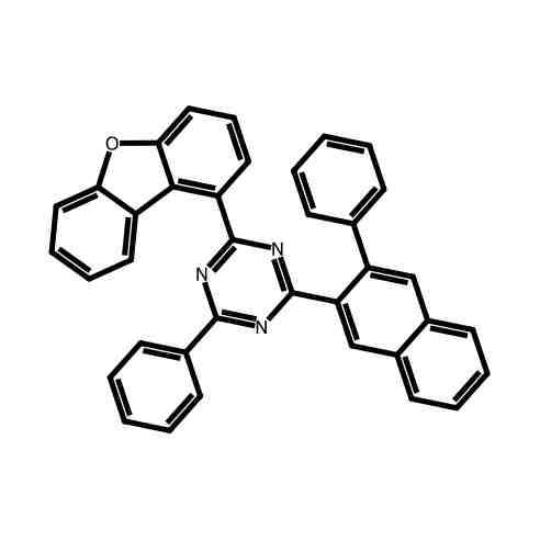 c1ccc(-c2nc(-c3cc4ccccc4cc3-c3ccccc3)nc(-c3cccc4oc5ccccc5c34)n2)cc1